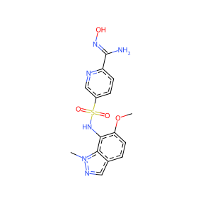 COc1ccc2cnn(C)c2c1NS(=O)(=O)c1ccc(C(N)=NO)nc1